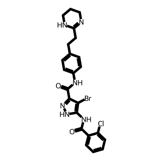 O=C(Nc1[nH]nc(C(=O)Nc2ccc(CCC3=NCCCN3)cc2)c1Br)c1ccccc1Cl